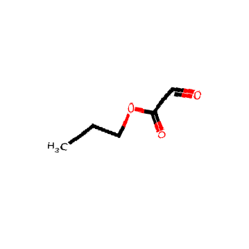 CCCOC(=O)C=O